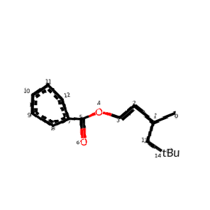 CC(C=COC(=O)c1ccccc1)CC(C)(C)C